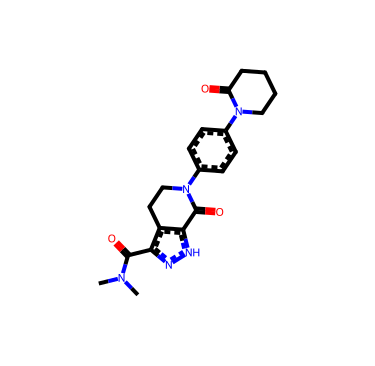 CN(C)C(=O)c1n[nH]c2c1CCN(c1ccc(N3CCCCC3=O)cc1)C2=O